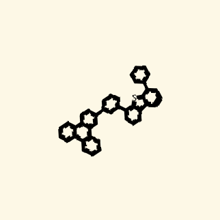 c1cc(-c2ccccc2)c2sc3c(-c4cccc(-c5ccc6c7ccccc7c7ccccc7c6c5)c4)cccc3c2c#1